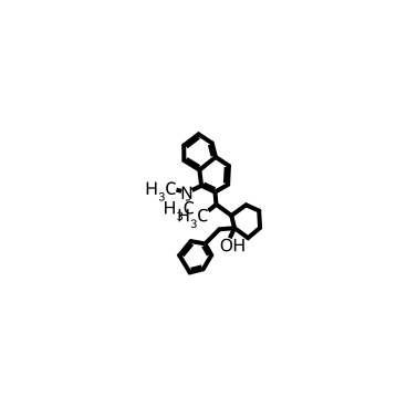 CC(c1ccc2ccccc2c1N(C)C)C1CCCCC1(O)Cc1ccccc1